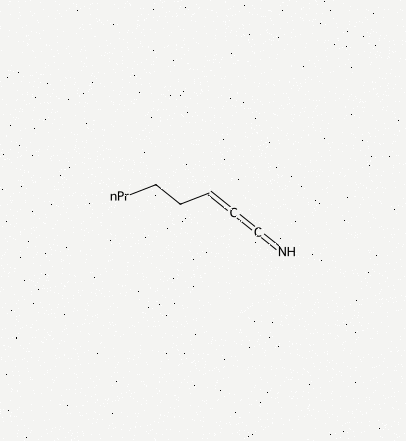 CCCCCC=C=C=N